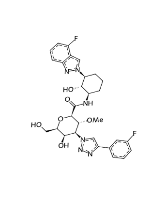 CO[C@@H]1[C@@H](n2cc(-c3cccc(F)c3)nn2)[C@@H](O)[C@@H](CO)O[C@H]1C(=O)N[C@@H]1CCC[C@H](n2cc3c(F)cccc3n2)[C@H]1O